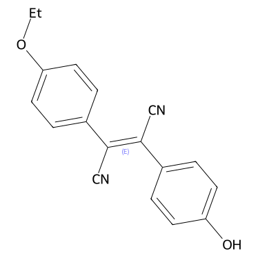 CCOc1ccc(/C(C#N)=C(\C#N)c2ccc(O)cc2)cc1